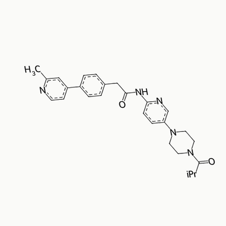 Cc1cc(-c2ccc(CC(=O)Nc3ccc(N4CCN(C(=O)C(C)C)CC4)cn3)cc2)ccn1